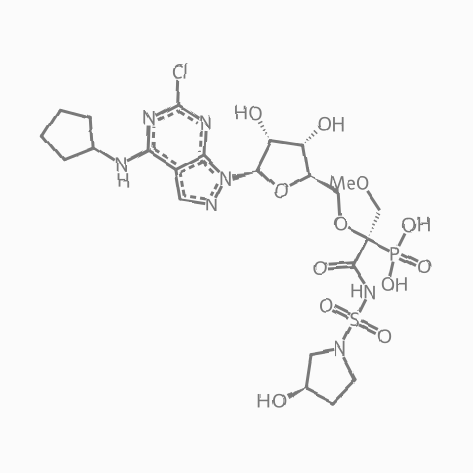 COC[C@@](OC[C@H]1O[C@@H](n2ncc3c(NC4CCCC4)nc(Cl)nc32)[C@H](O)[C@@H]1O)(C(=O)NS(=O)(=O)N1CC[C@@H](O)C1)P(=O)(O)O